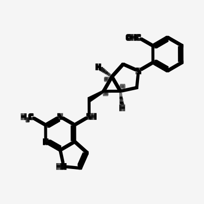 Cc1nc(NC[C@H]2[C@H]3CN(c4ccccc4C=O)C[C@@H]23)c2cc[nH]c2n1